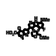 CNc1cc(F)c(F)c2c1[nH]c1ncc(-c3cnc4c(c3)c(=O)c(C(=O)O)cn4C)c(N3CCOC(COC)C3)c12